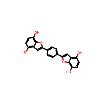 Oc1ccc(O)c2oc(-c3ccc(-c4cc5c(O)ccc(O)c5o4)cc3)cc12